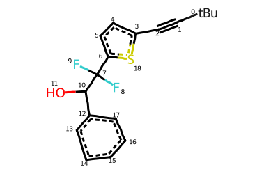 CC(C)(C)C#Cc1ccc(C(F)(F)C(O)c2ccccc2)s1